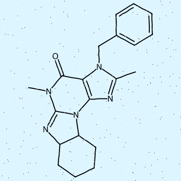 Cc1nc2c(n1Cc1ccccc1)C(=O)N(C)C1=NC3CCCCC3N12